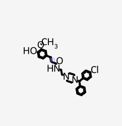 COc1cc(/C=C/C(=O)NCCN2CCN(C(c3ccccc3)c3ccc(Cl)cc3)CC2)ccc1O